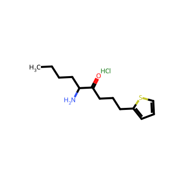 CCCCC(N)C(=O)CCCc1cccs1.Cl